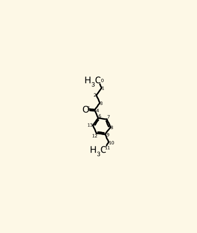 CCCCC(=O)c1ccc(CC)cc1